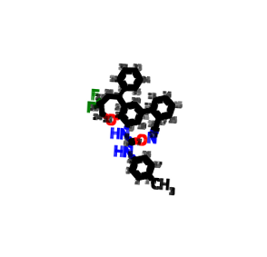 Cc1ccc(NC(=O)Nc2cc(-c3ccccc3C#N)cc3c2OCC(F)(F)C[C@H]3c2ccccc2)cc1